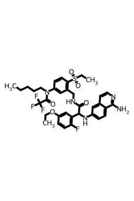 CCCCCN(C(=O)C(F)(F)F)c1ccc(S(=O)(=O)CC)c(CNC(=O)C(Nc2ccc3c(N)nccc3c2)c2cc(OCC)ccc2F)c1